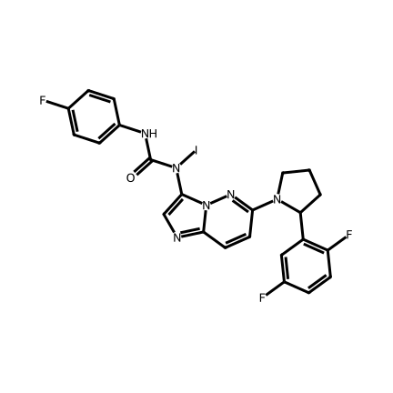 O=C(Nc1ccc(F)cc1)N(I)c1cnc2ccc(N3CCCC3c3cc(F)ccc3F)nn12